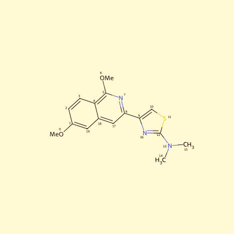 COc1ccc2c(OC)nc(-c3csc(N(C)C)n3)cc2c1